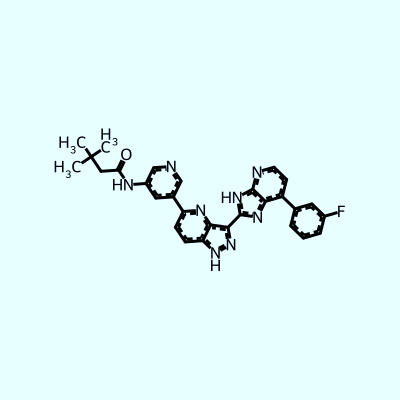 CC(C)(C)CC(=O)Nc1cncc(-c2ccc3[nH]nc(-c4nc5c(-c6cccc(F)c6)ccnc5[nH]4)c3n2)c1